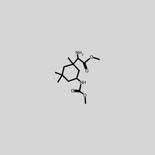 COC(=O)NC1CC(C)(C)CC(C)(C(N)C(=O)OC)C1